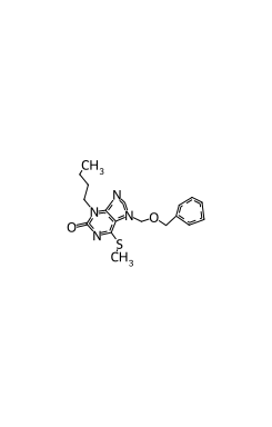 CCCCn1c(=O)nc(SC)c2c1ncn2COCc1ccccc1